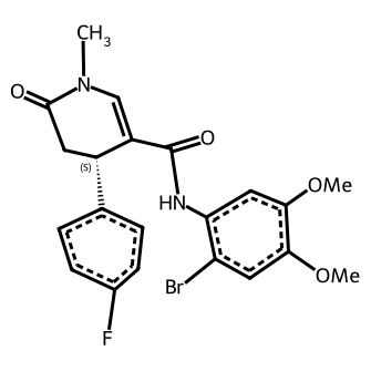 COc1cc(Br)c(NC(=O)C2=CN(C)C(=O)C[C@H]2c2ccc(F)cc2)cc1OC